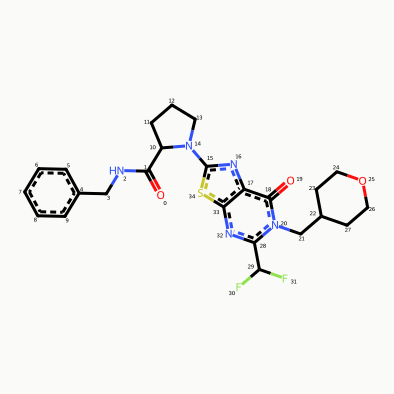 O=C(NCc1ccccc1)C1CCCN1c1nc2c(=O)n(CC3CCOCC3)c(C(F)F)nc2s1